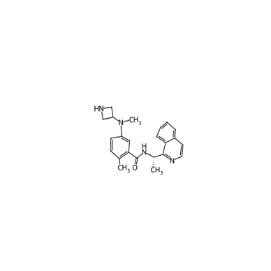 Cc1ccc(N(C)C2CNC2)cc1C(=O)N[C@@H](C)c1nccc2ccccc12